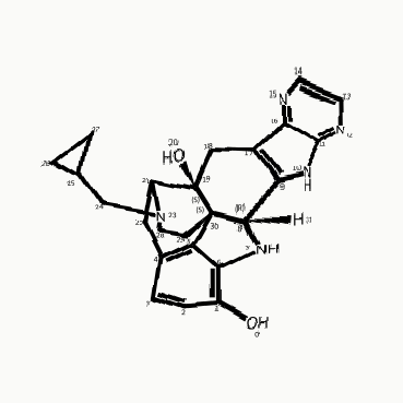 Oc1ccc2c3c1N[C@H]1c4[nH]c5nccnc5c4C[C@@]4(O)C(C2)N(CC2CC2)CC[C@]314